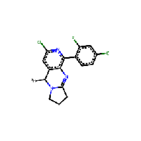 [2H]C1c2cc(Cl)nc(-c3ccc(Cl)cc3F)c2N=C2CCCN21